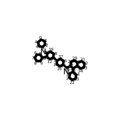 c1ccc(-n2c3ccccc3c3cc(-c4ccc(-c5nc6ccccc6c6c5ccc5ccccc56)cc4)ccc32)cc1